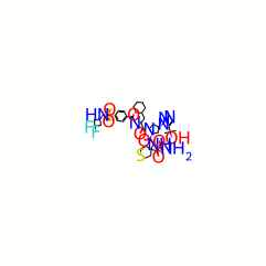 CC(C)(O)c1cnnn1[C@H]1C[C@@H](C(=O)NC2(C(=O)C(N)=O)CCSCC2)N(C(=O)/C(CC2CCCCC2)=N/C(=O)c2ccc(S(=O)(=O)NC3CC(F)(F)C3)cc2)C1